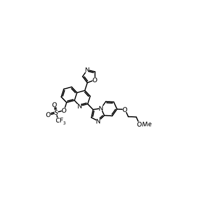 COCCOc1ccn2c(-c3cc(-c4cnco4)c4cccc(OS(=O)(=O)C(F)(F)F)c4n3)cnc2c1